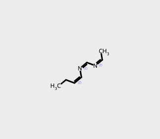 C\C=N/C=N\C=C/CC